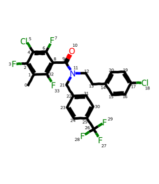 Cc1c(F)c(Cl)c(F)c(C(=O)N(CCc2ccc(Cl)cc2)Cc2ccc(C(F)(F)F)cc2)c1F